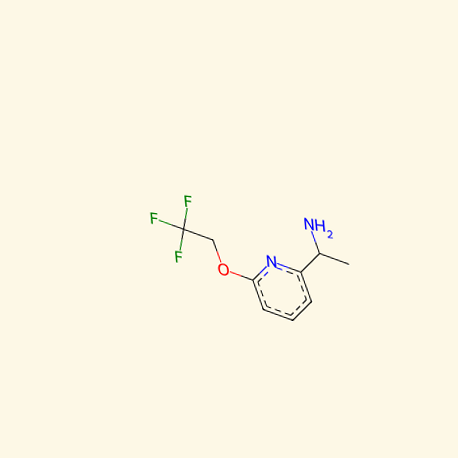 CC(N)c1cccc(OCC(F)(F)F)n1